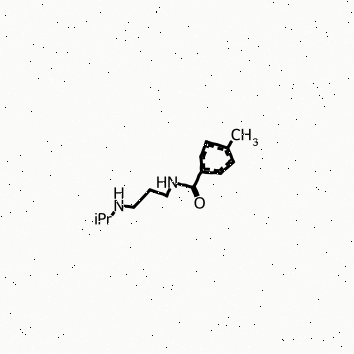 Cc1ccc(C(=O)NCCCNC(C)C)cc1